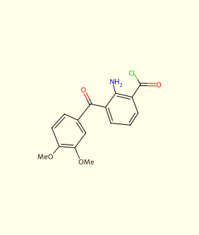 COc1ccc(C(=O)c2cccc(C(=O)Cl)c2N)cc1OC